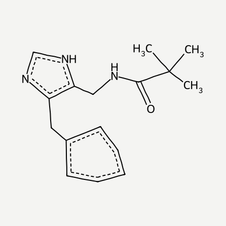 CC(C)(C)C(=O)NCc1[nH]cnc1Cc1ccccc1